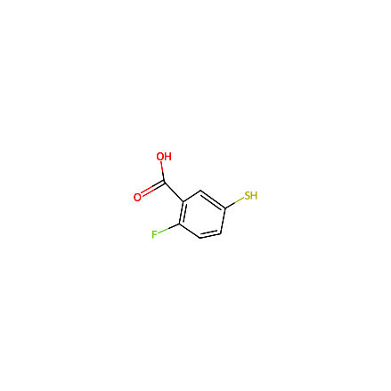 O=C(O)c1cc(S)ccc1F